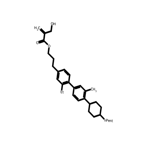 C=C(CO)C(=O)OCCCc1ccc(-c2ccc(C3CCC(CCCCC)CC3)c(C)c2)c(CC)c1